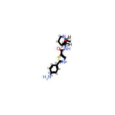 C[C@H]1[C@H](NC(=O)c2cnc(-c3ccc(N)cc3)s2)C2CCN1CC2